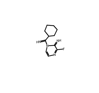 N=C(C1CCCCC1)n1ccnc(F)c1=N